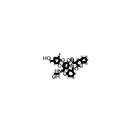 COc1cc(CO)cc(I)c1O[C@H]1C=C(C(=O)NCCO)C[C@@H](N(CC2CCCCC2)C(=O)c2cc3ccccc3oc2=O)[C@@H]1O